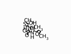 Cc1ccc([C@H](Nc2c(Nc3csc(C)c3O)c(=O)c2=O)C(C)C)o1